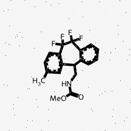 COC(=O)NCC1c2ccccc2C(F)(F)C(F)(F)c2ccc(C)cc21